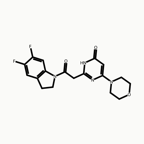 O=C(Cc1nc(N2CCOCC2)cc(=O)[nH]1)N1CCc2cc(F)c(F)cc21